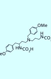 COc1ccc(CC(CCN(CCCNC(=O)O)Cc2ccc(OC)cc2)NC(=O)O)cc1